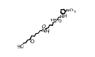 O=C(CCCO)CCCCCNC(=O)CCCCCNC(=O)CNc1cccc([N+](=O)[O-])c1